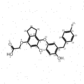 O=C(O)COc1cc(Cl)c(Oc2ccc(O)c(Cc3ccc(F)cc3)c2)c2c1CCC2